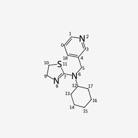 c1cncc(CN(C2=NCCS2)C2CCCCC2)c1